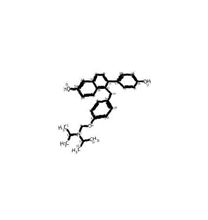 CC(C)N(COc1ccc(Cc2c(-c3ccc(O)cc3)ccc3cc(O)ccc23)cc1)C(C)C